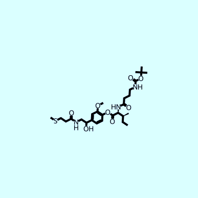 CC[C@H](C)[C@H](NC(=O)CCCNC(=O)OC(C)(C)C)C(=O)Oc1ccc(C(O)CNC(=O)CCSC)cc1OC